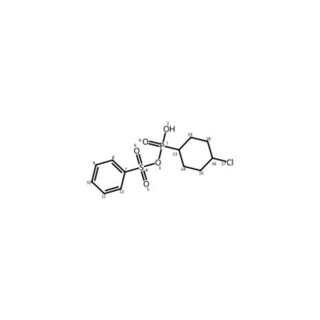 O=P(O)(OS(=O)(=O)c1ccccc1)C1CCC(Cl)CC1